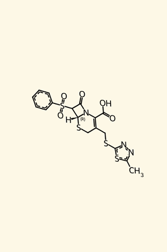 Cc1nnc(SCC2=C(C(=O)O)N3C(=O)C(S(=O)(=O)c4ccccc4)[C@H]3SC2)s1